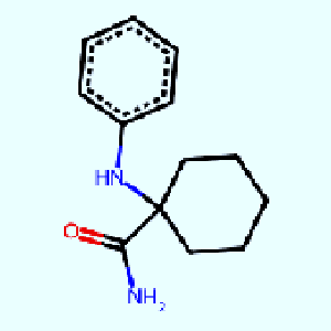 NC(=O)C1(Nc2ccccc2)CCCCC1